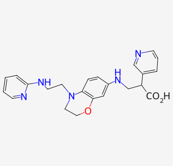 O=C(O)C(CNc1ccc2c(c1)OCCN2CCNc1ccccn1)c1cccnc1